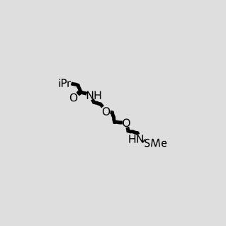 CSNCCOCCOCCNC(=O)CC(C)C